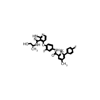 Cc1cc(C(=O)Nc2ccc(Oc3ccnc4[nH]nc(N[C@H](C)CO)c34)c(F)c2)[n+]([O-])c(-c2ccc(F)cc2)c1